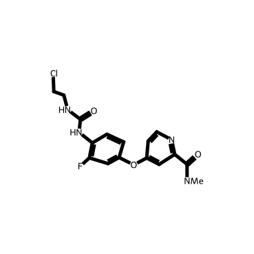 CNC(=O)c1cc(Oc2ccc(NC(=O)NCCCl)c(F)c2)ccn1